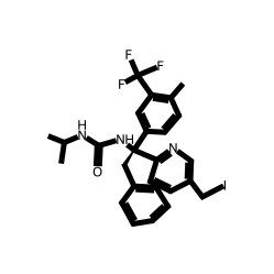 Cc1ccc([C@@](Cc2ccccc2)(NC(=O)NC(C)C)c2ccc(CI)cn2)cc1C(F)(F)F